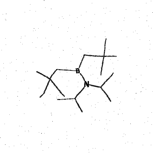 CC(C)N(B(CC(C)(C)C)CC(C)(C)C)C(C)C